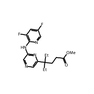 CCC(CC)(CCC(=O)OC)c1cncc(Nc2ncc(F)cc2F)n1